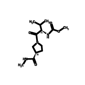 CNC(=O)[C@H]1CCN(C(=O)[C@@H](NC(=O)OC)C(C)C)C1